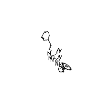 Cn1nc(-c2ncc([N+](=O)[O-])n2C)c(C#N)c1N=CC=Cc1ccccc1